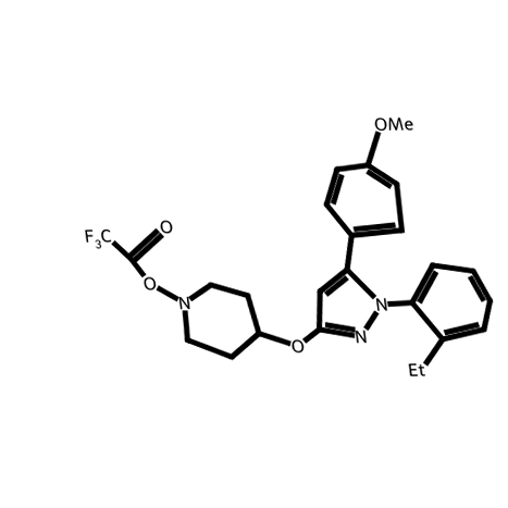 CCc1ccccc1-n1nc(OC2CCN(OC(=O)C(F)(F)F)CC2)cc1-c1ccc(OC)cc1